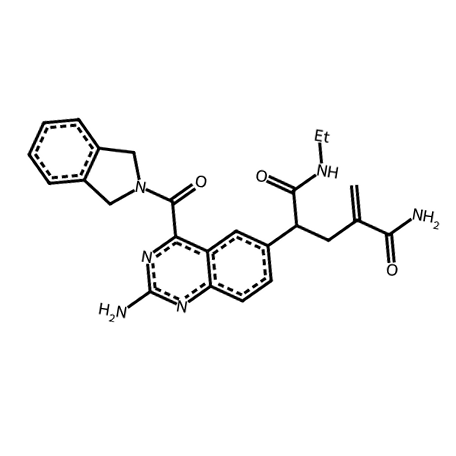 C=C(CC(C(=O)NCC)c1ccc2nc(N)nc(C(=O)N3Cc4ccccc4C3)c2c1)C(N)=O